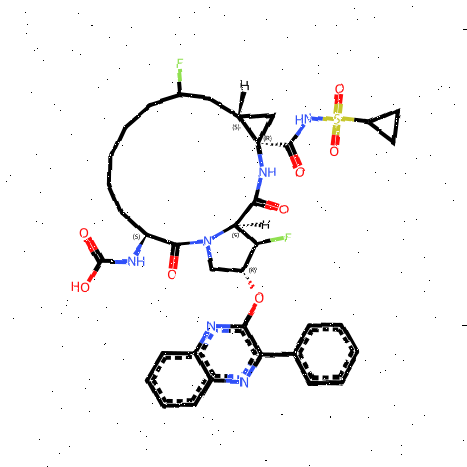 O=C(O)N[C@H]1CCCCCC(F)C[C@@H]2C[C@@]2(C(=O)NS(=O)(=O)C2CC2)NC(=O)[C@H]2C(F)[C@H](Oc3nc4ccccc4nc3-c3ccccc3)CN2C1=O